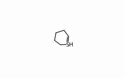 C1=[SH]CCCC1